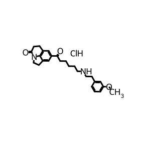 COc1cccc(CCNCCCCCC(=O)c2cc3c4c(c2)CCN4C(=O)CC3)c1.Cl